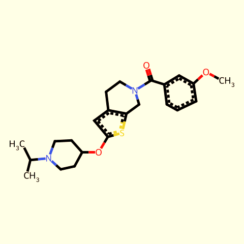 COc1cccc(C(=O)N2CCc3cc(OC4CCN(C(C)C)CC4)sc3C2)c1